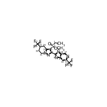 CCS(=O)(=O)c1c(-c2nc3cc(C(F)(F)F)ncc3n2C)nn2c1CC(C(F)(F)F)CC2